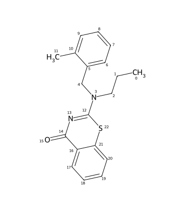 CCCN(Cc1ccccc1C)c1nc(=O)c2ccccc2s1